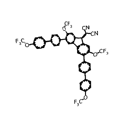 N#CC(C#N)=C1c2cc(OC(F)(F)F)c(-c3ccc(-c4ccc(OC(F)(F)F)cc4)cc3)cc2-c2cc(-c3ccc(-c4ccc(OC(F)(F)F)cc4)cc3)c(OC(F)(F)F)cc21